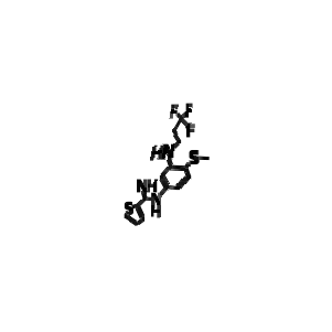 CSc1ccc(NC(=N)c2cccs2)cc1NCCC(F)(F)F